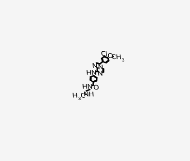 CNCCNC(=O)c1ccc(Nc2nccn3c(-c4ccc(OC)c(Cl)c4)cnc23)cc1